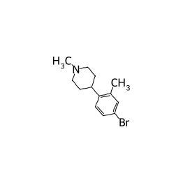 Cc1cc(Br)ccc1C1CCN(C)CC1